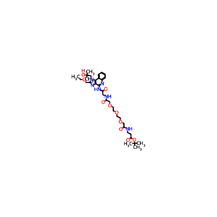 CCOCc1nc2c(NC(=O)CNC(=O)COCCOCCOCC(=O)NCCC(=O)OC(C)(C)C)nc3ccccc3c2n1CC(C)(C)O